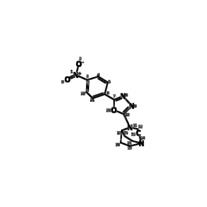 O=[N+]([O-])c1ccc(-c2nnc(N3CCN4CCC3CC4)o2)cc1